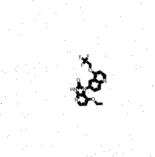 CCOc1ccnc2[nH]c(=O)n(-c3ccc4nccc(OCC(F)(F)F)c4c3)c12